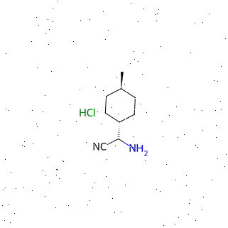 C[C@H]1CC[C@H](C(N)C#N)CC1.Cl